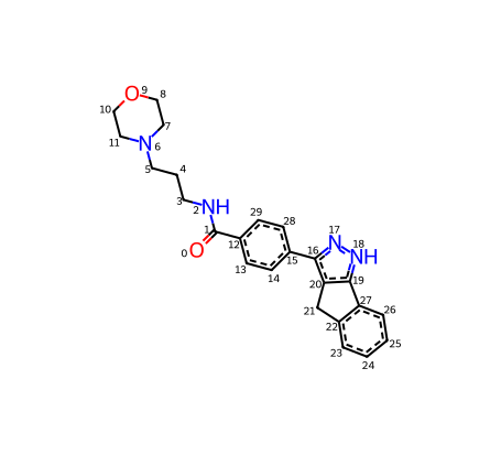 O=C(NCCCN1CCOCC1)c1ccc(-c2n[nH]c3c2Cc2ccccc2-3)cc1